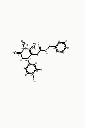 CC1=C(CC(=O)OCc2ccccc2)[C@@H](c2ccc(F)c(F)c2)CC(=O)N1C